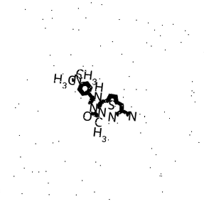 Cc1nc2c(-c3ccc(C=C(C#N)C#N)s3)[nH]c(-c3ccc(N(C)C)cc3)cn-2c1=O